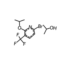 CC(C)O.CC(C)Oc1nc(Br)ccc1C(F)(F)F